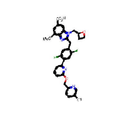 COc1cc(C(=O)O)cc2c1nc(Cc1cc(F)c(-c3cccc(OCc4ccc(C#N)cn4)n3)cc1F)n2CC1CCO1